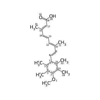 COc1c(C)c(C)c(C=CC(C)=CC=CC(C)=CC(=O)O)c(C)c1C